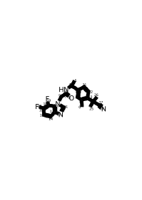 Cc1cc(C(C)NC(=O)Cn2cnc3ccc(F)c(F)c32)ccc1C(C)(C)C#N